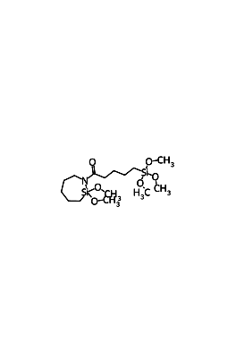 CO[Si](CCCCC(=O)N1CCCCC[Si]1(OC)OC)(OC)OC